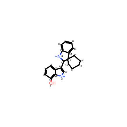 Oc1cccc2c(C3Nc4ccccc4C34CCCCC4)c[nH]c12